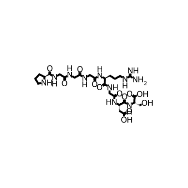 N=C(N)NCCC[C@H](NC(=O)CNC(=O)CNC(=O)CNC(=O)[C@@H]1CCCN1)C(=O)NCC(=O)N[C@@H](CC(=O)O)C(=O)N[C@@H](CO)C(=O)O